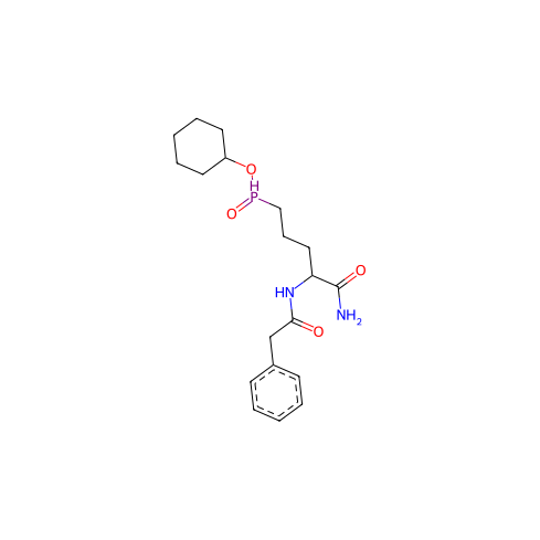 NC(=O)C(CCC[PH](=O)OC1CCCCC1)NC(=O)Cc1ccccc1